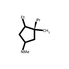 CCC1CC(NC)C[C@]1(C)C(C)C